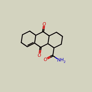 NC(=O)C1CCCC2C(=O)C3CCCC=C3C(=O)C12